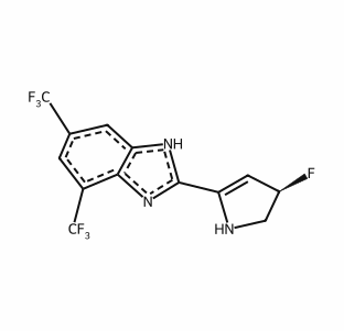 F[C@@H]1C=C(c2nc3c(C(F)(F)F)cc(C(F)(F)F)cc3[nH]2)NC1